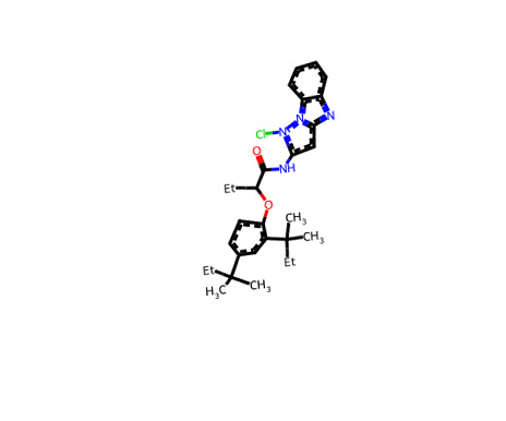 CCC(Oc1ccc(C(C)(C)CC)cc1C(C)(C)CC)C(=O)Nc1cc2nc3ccccc3n2n1Cl